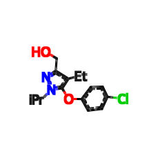 CCc1c(CO)nn(C(C)C)c1Oc1ccc(Cl)cc1